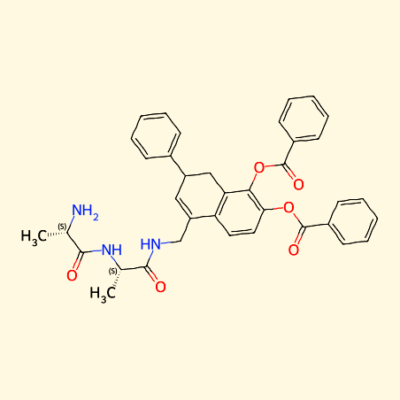 C[C@H](N)C(=O)N[C@@H](C)C(=O)NCC1=CC(c2ccccc2)Cc2c1ccc(OC(=O)c1ccccc1)c2OC(=O)c1ccccc1